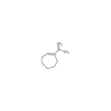 C=C(C)C1=CCCCCC1